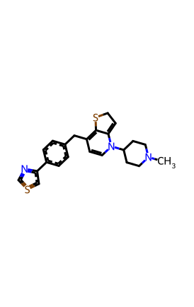 CN1CCC(N2C=CC(Cc3ccc(-c4cscn4)cc3)=C3SCC=C32)CC1